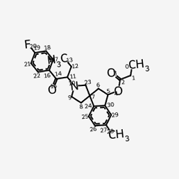 CCC(=O)OC1CC2(CCN(C(CC)C(=O)c3ccc(F)cc3)C2)c2ccc(C)cc21